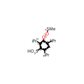 CSOOc1c(C(C)C)cc(C(C)C)c(S(=O)(=O)O)c1C(C)C